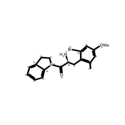 COc1cc(C)c(C[C@H](N)C(=O)N2CCc3ccccc32)c(Br)c1